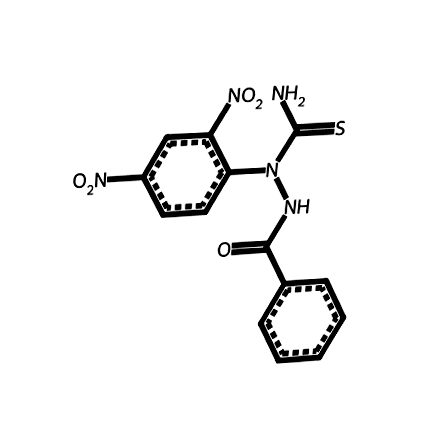 NC(=S)N(NC(=O)c1ccccc1)c1ccc([N+](=O)[O-])cc1[N+](=O)[O-]